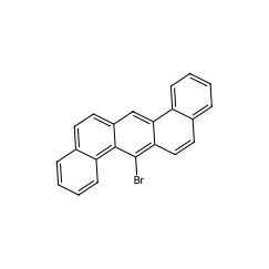 Brc1c2ccc3ccccc3c2cc2ccc3ccccc3c12